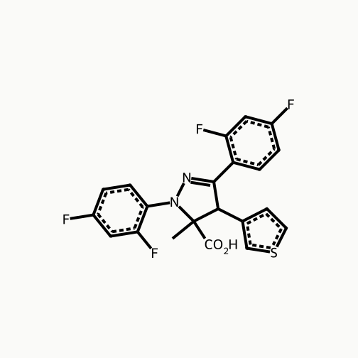 CC1(C(=O)O)C(c2ccsc2)C(c2ccc(F)cc2F)=NN1c1ccc(F)cc1F